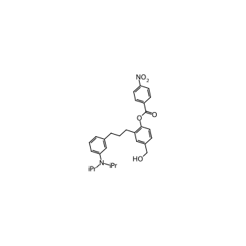 CC(C)N(c1cccc(CCCc2cc(CO)ccc2OC(=O)c2ccc([N+](=O)[O-])cc2)c1)C(C)C